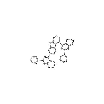 c1ccc(-c2nc(-c3ccc4c(c3)sc3cccc(-c5nc(-c6ccccc6)nc6ccccc56)c34)c3ccccc3n2)cc1